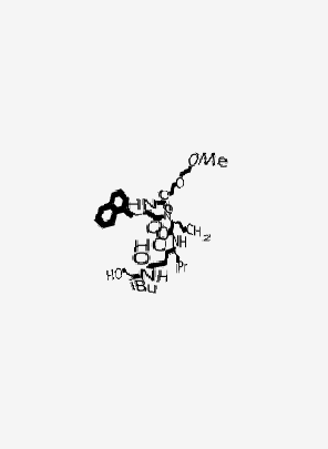 C=CC[C@H](NC(=O)[C@H](Cc1cccc2ccccc12)NC(=O)OCCOCCOC)C(=O)N[C@@H](CC(C)C)[C@@H](O)CC(=O)N[C@H](CO)[C@@H](C)CC